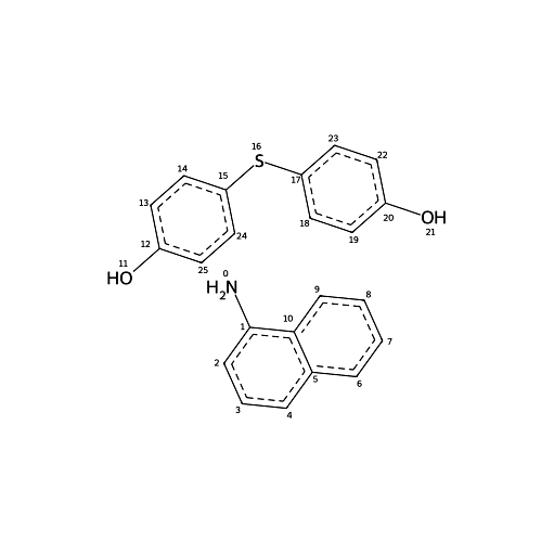 Nc1cccc2ccccc12.Oc1ccc(Sc2ccc(O)cc2)cc1